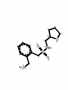 NCc1ccccc1CS(=O)(=O)NCC1CCCO1